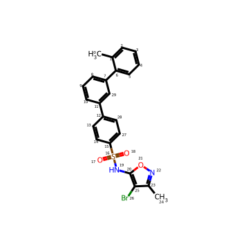 Cc1ccccc1-c1cccc(-c2ccc(S(=O)(=O)Nc3onc(C)c3Br)cc2)c1